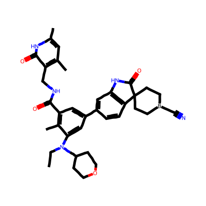 CCN(c1cc(-c2ccc3c(c2)NC(=O)C32CCB(C#N)CC2)cc(C(=O)NCc2c(C)cc(C)[nH]c2=O)c1C)C1CCOCC1